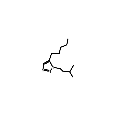 CCCCCc1cnnn1CCC(C)C